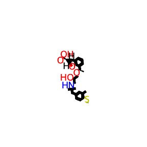 CSc1ccc(CC(C)(C)NC[C@@H](O)CO[C@H](C)c2cccc3c2O[C@@H]2[C@@H](C(=O)O)[C@H]32)cc1C